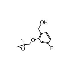 C[C@@]1(COc2cc(F)ccc2CO)CO1